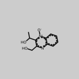 CC(O)c1c(CO)nc2ccccc2[n+]1[O-]